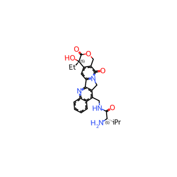 CC[C@@]1(O)C(=O)OCc2c1cc1n(c2=O)Cc2c-1nc1ccccc1c2CNC(=O)[C@@H](N)C(C)C